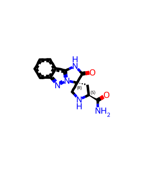 NC(=O)[C@@H]1C[C@@]2(CN1)C(=O)Nc1c3ccccc3nn12